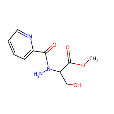 COC(=O)C(CO)N(N)C(=O)c1ccccn1